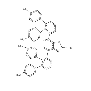 CCCCc1ccc(-c2cccc(-c3ccc(-c4cccc(-c5ccc(CCCC)cc5)c4-c4ccc(CCCC)cc4)c4c3=NC(CCC)N=4)c2-c2ccc(CCCC)cc2)cc1